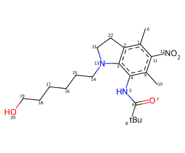 Cc1c2c(c(NC(=O)C(C)(C)C)c(C)c1[N+](=O)[O-])N(CCCCCCO)CC2